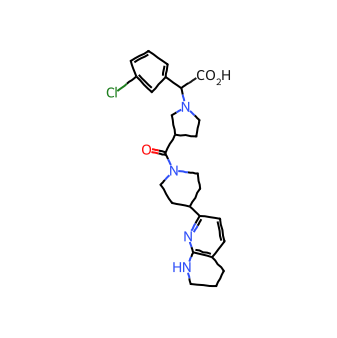 O=C(O)C(c1cccc(Cl)c1)N1CCC(C(=O)N2CCC(c3ccc4c(n3)NCCC4)CC2)C1